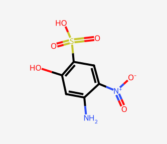 Nc1cc(O)c(S(=O)(=O)O)cc1[N+](=O)[O-]